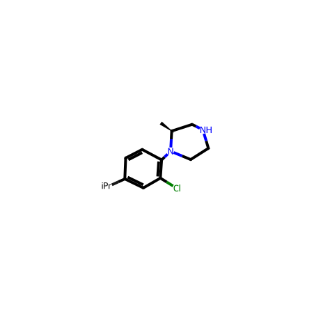 CC(C)c1ccc(N2CCNC[C@@H]2C)c(Cl)c1